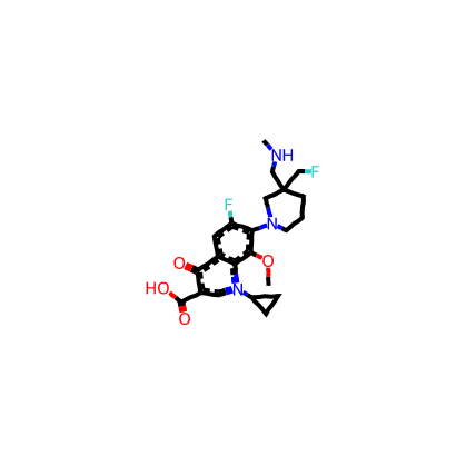 CNCC1(CF)CCCN(c2c(F)cc3c(=O)c(C(=O)O)cn(C4CC4)c3c2OC)C1